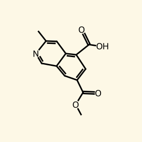 COC(=O)c1cc(C(=O)O)c2cc(C)ncc2c1